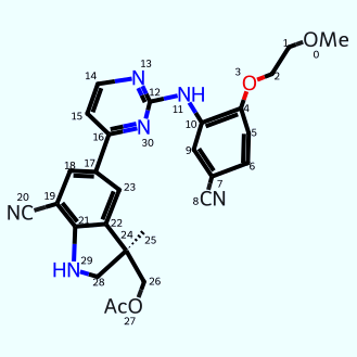 COCCOc1ccc(C#N)cc1Nc1nccc(-c2cc(C#N)c3c(c2)[C@@](C)(COC(C)=O)CN3)n1